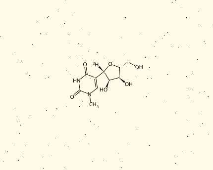 [2H][C@@]1(c2cn(C)c(=O)[nH]c2=O)O[C@H](CO)[C@@H](O)[C@H]1O